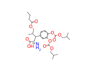 CCCC(=O)OCC(C)C(c1ccc(OC(=O)OCC(C)C)c(OC(=O)OCC(C)C)c1)[C@H](N)C(=O)O